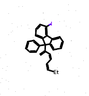 C=C(/C=C\C=C/CC)C1(c2ccccc2)c2ccccc2-c2c(I)cccc21